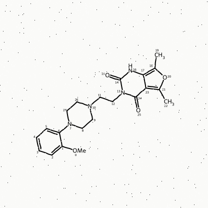 COc1ccccc1N1CCN(CCn2c(=O)[nH]c3c(C)oc(C)c3c2=O)CC1